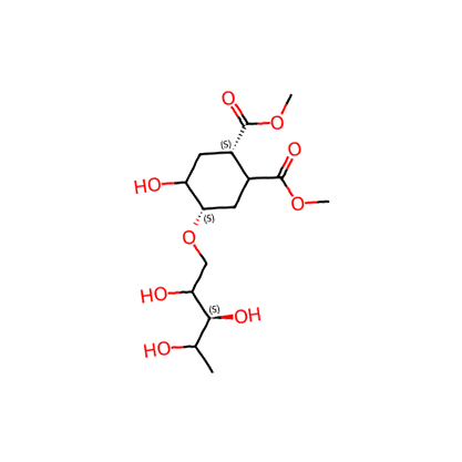 COC(=O)C1C[C@H](OCC(O)[C@@H](O)C(C)O)C(O)C[C@@H]1C(=O)OC